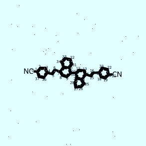 N#Cc1ccc(C=Cc2ccc(-c3ccc(C=Cc4ccc(C#N)cc4)c4ccccc34)c3ccccc23)cc1